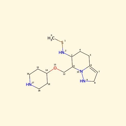 CSNC1CCC2=CCNN2C1COC1CCNCC1